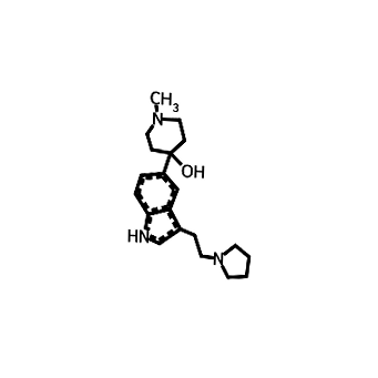 CN1CCC(O)(c2ccc3[nH]cc(CCN4CCCC4)c3c2)CC1